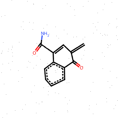 C=C1C=C(C(N)=O)c2ccccc2C1=O